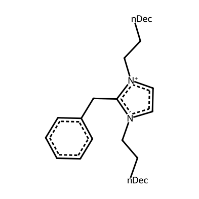 CCCCCCCCCCCCn1cc[n+](CCCCCCCCCCCC)c1Cc1ccccc1